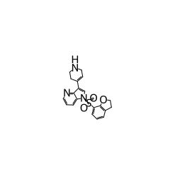 O=S(=O)(c1cccc2c1OCC2)n1cc(C2=CCNCC2)c2ncccc21